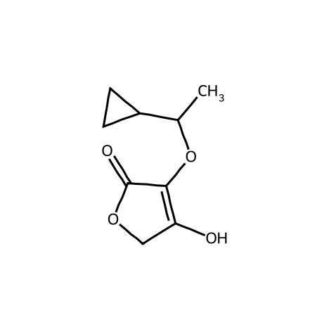 CC(OC1=C(O)COC1=O)C1CC1